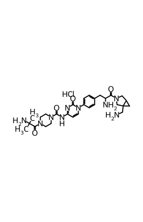 CC(C)(N)C(=O)N1CCN(C(=O)Nc2ccn(-c3ccc(CC(N)C(=O)N4CC5CC5(CN)C4)cc3)c(=O)n2)CC1.Cl